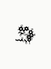 CCCCC(=O)OCC(=O)[C@H]1[C@H](C)C[C@H]2[C@@H]3C[C@H](F)C4=CC(=O)C=C[C@]4(C)[C@@]3(F)[C@@H](O)C[C@@]21C.CN1C(=O)CN=C(c2ccccc2)c2cc(Cl)ccc21